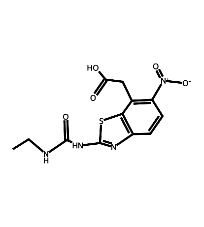 CCNC(=O)Nc1nc2ccc([N+](=O)[O-])c(CC(=O)O)c2s1